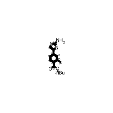 CCCCOC(=O)c1ccc(-c2csc(N)n2)cc1C